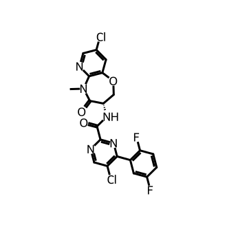 CN1C(=O)[C@@H](NC(=O)c2ncc(Cl)c(-c3cc(F)ccc3F)n2)COc2cc(Cl)cnc21